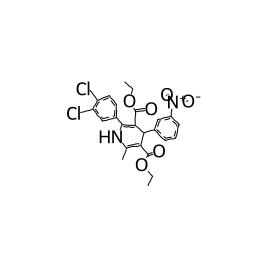 CCOC(=O)C1=C(C)NC(c2ccc(Cl)c(Cl)c2)=C(C(=O)OCC)C1c1cccc([N+](=O)[O-])c1